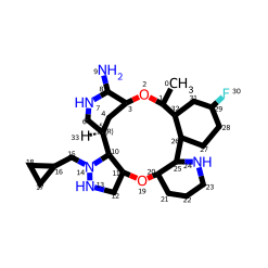 CC1OC2C[C@H](CNC2N)C2C(CNN2CC2CC2)OC2CCCNC2C2CCC(F)CC12